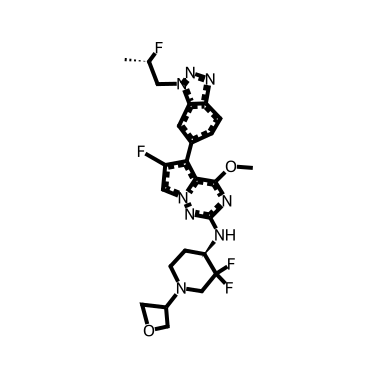 COc1nc(N[C@@H]2CCN(C3COC3)CC2(F)F)nn2cc(F)c(-c3ccc4nnn(C[C@H](C)F)c4c3)c12